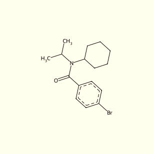 CC(C)N(C(=O)c1ccc(Br)cc1)C1CCCCC1